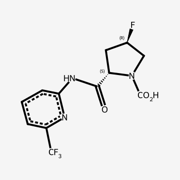 O=C(Nc1cccc(C(F)(F)F)n1)[C@@H]1C[C@@H](F)CN1C(=O)O